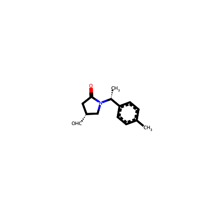 Cc1ccc([C@@H](C)N2C[C@H](C=O)CC2=O)cc1